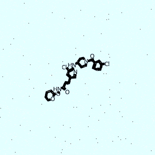 O=C(/C=C/c1cnc(NC2CCN(C(=O)c3cccc(Cl)c3)CC2)c(Cl)c1)NOC1CCCCO1